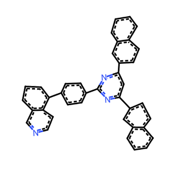 c1ccc2cc(-c3cc(-c4ccc5ccccc5c4)nc(-c4ccc(-c5cccc6cnccc56)cc4)n3)ccc2c1